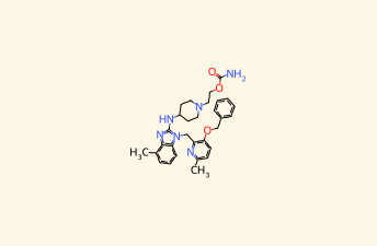 Cc1ccc(OCc2ccccc2)c(Cn2c(NC3CCN(CCOC(N)=O)CC3)nc3c(C)cccc32)n1